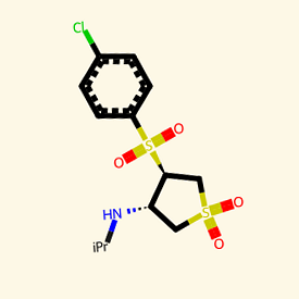 CC(C)N[C@H]1CS(=O)(=O)C[C@@H]1S(=O)(=O)c1ccc(Cl)cc1